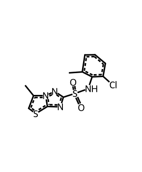 Cc1cccc(Cl)c1NS(=O)(=O)c1nc2scc(C)n2n1